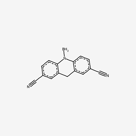 BN1c2ccc(C#N)cc2Cc2cc(C#N)ccc21